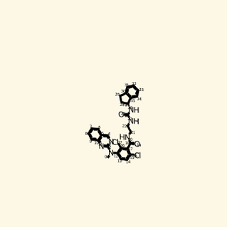 CN(c1ncc2ccccc2n1)c1ccc(Cl)c(C(=O)NCCNC(=O)N[C@@H]2CCc3ccccc32)c1Cl